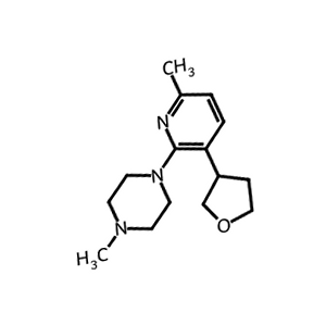 Cc1ccc(C2CCOC2)c(N2CCN(C)CC2)n1